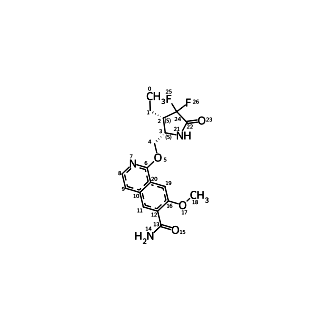 CC[C@H]1[C@@H](COc2nccc3cc(C(N)=O)c(OC)cc23)NC(=O)C1(F)F